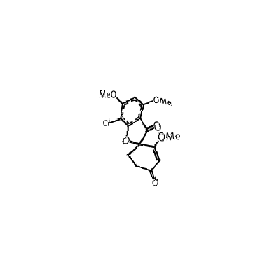 COC1=CC(=O)CCC12Oc1c(Cl)c(OC)cc(OC)c1C2=O